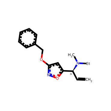 C=C[C@@H](c1cc(OCc2ccccc2)no1)N(C)CC